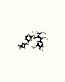 Cc1nc(/C(N)=C(\CNc2nccc(OC3CC(F)(F)C3)n2)N(C)N)ccc1O